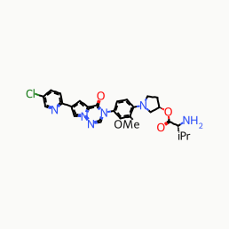 COc1cc(-n2cnn3cc(-c4ccc(Cl)cn4)cc3c2=O)ccc1N1CC[C@@H](OC(=O)[C@@H](N)C(C)C)C1